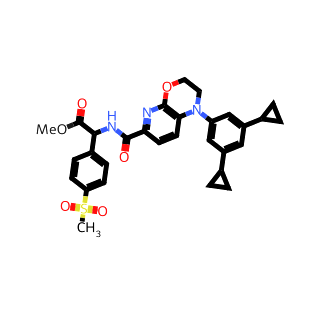 COC(=O)C(NC(=O)c1ccc2c(n1)OCCN2c1cc(C2CC2)cc(C2CC2)c1)c1ccc(S(C)(=O)=O)cc1